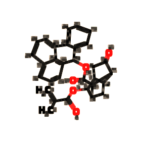 C=C(C)C(=O)OC1C2CC(=O)C3C2CC1C3C(=O)OC1c2ccccc2-c2cccc3cccc1c23